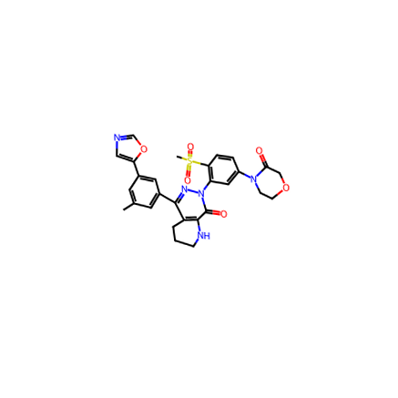 Cc1cc(-c2cnco2)cc(-c2nn(-c3cc(N4CCOCC4=O)ccc3S(C)(=O)=O)c(=O)c3c2CCCN3)c1